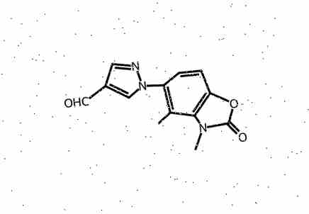 Cc1c(-n2cc(C=O)cn2)ccc2oc(=O)n(C)c12